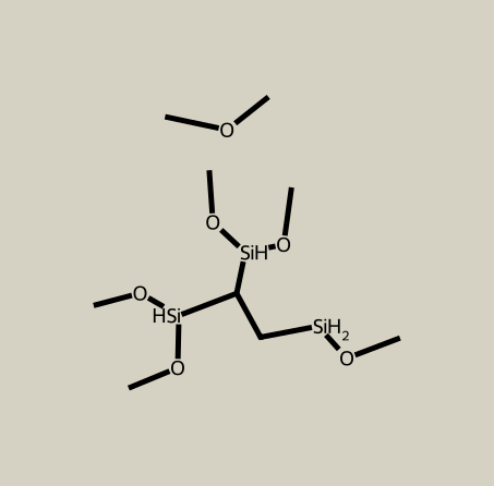 COC.CO[SiH2]CC([SiH](OC)OC)[SiH](OC)OC